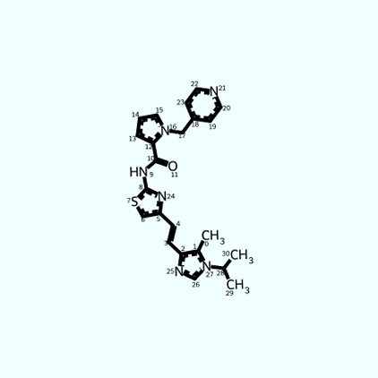 Cc1c(C=Cc2csc(NC(=O)c3cccn3Cc3ccncc3)n2)ncn1C(C)C